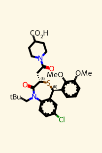 COc1cccc([C@@H]2S[C@@H](CC(=O)N3CCC(C(=O)O)CC3)C(=O)N(CC(C)(C)C)c3ccc(Cl)cc32)c1OC